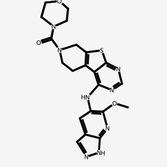 COc1nc2[nH]ncc2cc1Nc1ncnc2sc3c(c12)CCN(C(=O)N1CCOCC1)C3